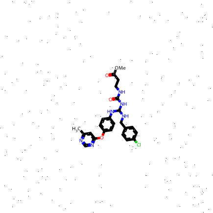 COC(=O)CCNC(=O)NC(NCc1ccc(Cl)cc1)Nc1ccc(Oc2cc(C)ncn2)cc1